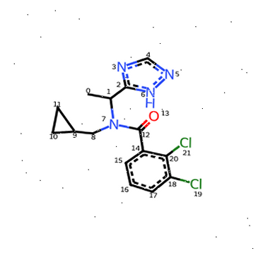 CC(c1ncn[nH]1)N(CC1CC1)C(=O)c1cccc(Cl)c1Cl